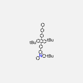 CC(C)(C)c1ccc2c(-c3ccc(-c4ccc5c(c4)c4cc(C(C)(C)C)ccc4n5-c4ccccc4)cc3)c3cc(C(C)(C)C)ccc3c(-c3ccc(-c4ccc(-c5ccccc5)cc4)cc3)c2c1